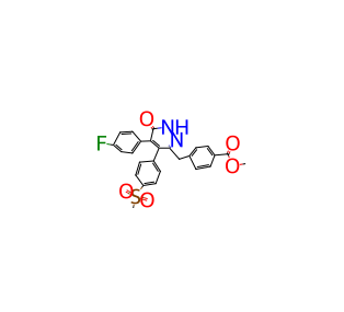 COC(=O)c1ccc(Cc2n[nH]c(=O)c(-c3ccc(F)cc3)c2-c2ccc(S(C)(=O)=O)cc2)cc1